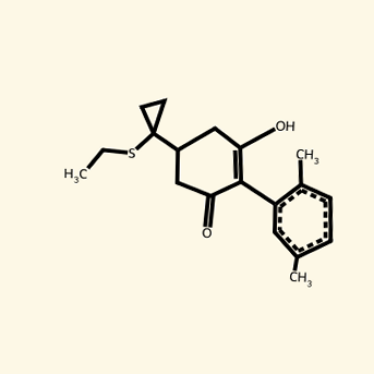 CCSC1(C2CC(=O)C(c3cc(C)ccc3C)=C(O)C2)CC1